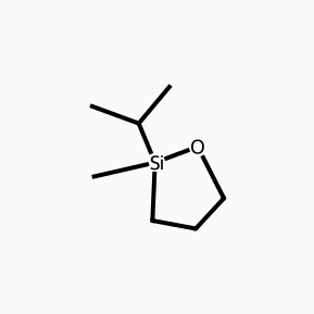 CC(C)[Si]1(C)CCCO1